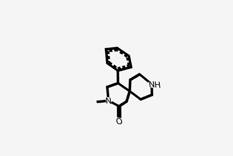 CN1CC(c2ccccc2)C2(CCNCC2)CC1=O